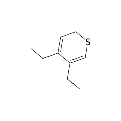 CCC1=CCSC=C1CC